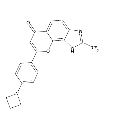 O=c1cc(-c2ccc(N3CCC3)cc2)oc2c1ccc1nc(C(F)(F)F)[nH]c12